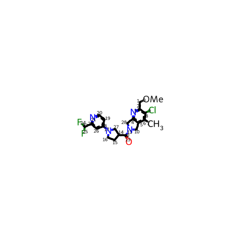 COCc1nc2c(c(C)c1Cl)CN(C(=O)C1CCN(c3ccnc(C(F)F)c3)C1)C2